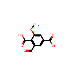 COc1cc(C(=O)O)cc([C]=O)c1C(=O)O